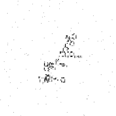 C=C1CC(C=CC(C)(C)[C@]2(OC)O[C@H](C[C@@H](O[Si](C)(C)C(C)(C)C)[C@@H](C)OCOCc3ccccc3)CCC2=O)OC(CC2C[C@@H](O)CC(C[C@H](CCO[Si](c3ccccc3)(c3ccccc3)C(C)(C)C)OCc3ccc(OC)cc3)O2)C1